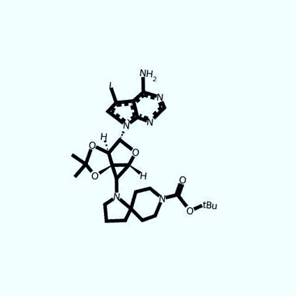 CC(C)(C)OC(=O)N1CCC2(CCCN2C2[C@H]3O[C@@H](n4cc(I)c5c(N)ncnc54)[C@@H]4OC(C)(C)O[C@]234)CC1